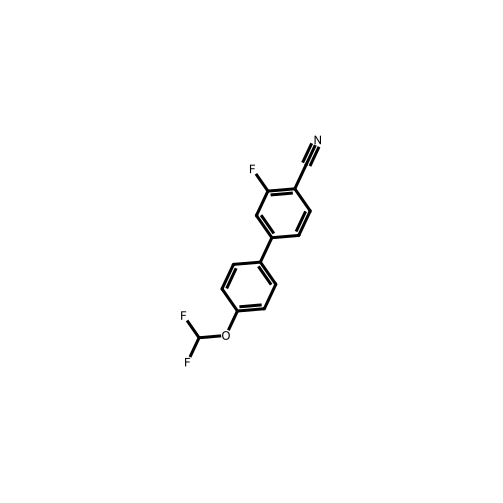 N#Cc1ccc(-c2ccc(OC(F)F)cc2)cc1F